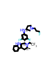 C[C@H]1Cc2c([nH]c3ccccc23)[C@H](c2c(F)cc(N[C@@H]3CCN(CCCF)C3)cc2F)N1CC(F)(F)F